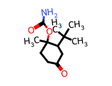 CC(C)(C)C1CC(=O)CCC1(C)OC(N)=O